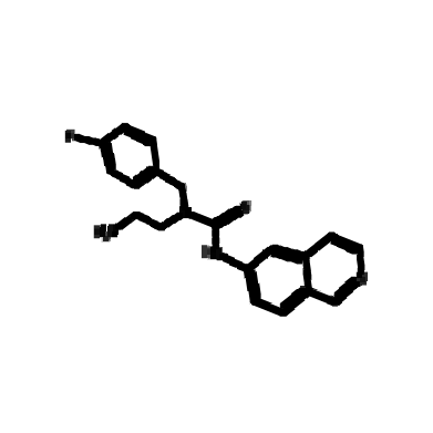 NCCN(Cc1ccc(F)cc1)C(=S)Nc1ccc2cnccc2c1